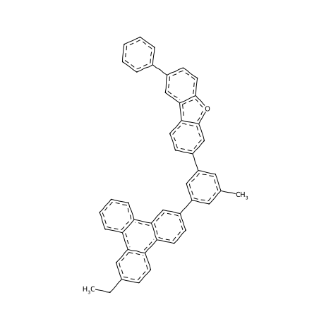 CCc1ccc2c3ccc(-c4cc(C)cc(-c5ccc6c(c5)oc5ccc(-c7ccccc7)cc56)c4)cc3c3ccccc3c2c1